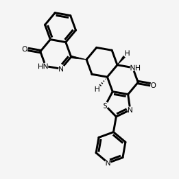 O=C1N[C@H]2CC[C@H](c3n[nH]c(=O)c4ccccc34)C[C@@H]2c2sc(-c3ccncc3)nc21